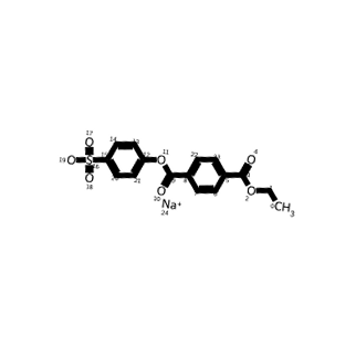 CCOC(=O)c1ccc(C(=O)Oc2ccc(S(=O)(=O)[O-])cc2)cc1.[Na+]